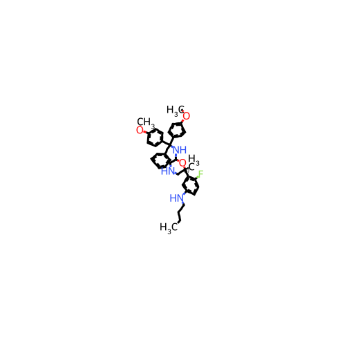 CCCCNc1ccc(F)c([C@]2(C)CNCC(NC(c3ccccc3)(c3ccc(OC)cc3)c3ccc(OC)cc3)O2)c1